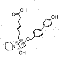 O=C(O)CCC=CCC[C@@H]1[C@@H](N2CCCCC2)[C@@H](O)C[C@@H]1OCc1ccc(-c2ccc(O)cc2)cc1